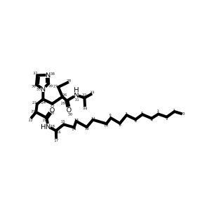 CCCCCCCCCCCCCCCCC(C)NC(=O)C(C)CC(CC(CC)C(=O)NC(C)C)n1ccnc1